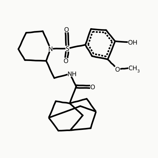 COc1cc(S(=O)(=O)N2CCCCC2CNC(=O)C23CC4CC(CC(C4)C2)C3)ccc1O